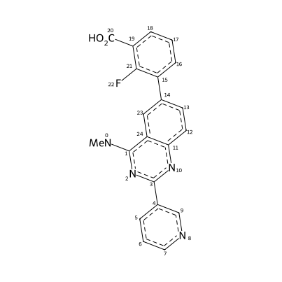 CNc1nc(-c2cccnc2)nc2ccc(-c3cccc(C(=O)O)c3F)cc12